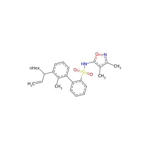 C=CC(CCCCCC)c1cccc(-c2ccccc2S(=O)(=O)Nc2onc(C)c2C)c1C